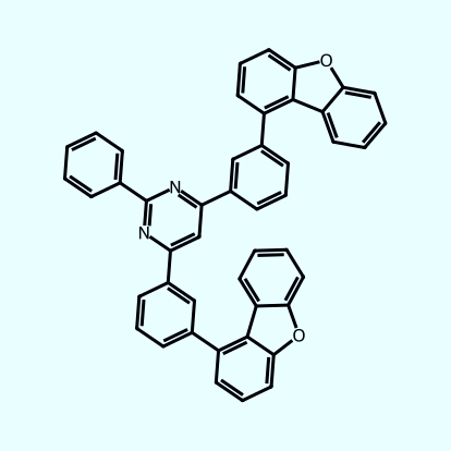 c1ccc(-c2nc(-c3cccc(-c4cccc5oc6ccccc6c45)c3)cc(-c3cccc(-c4cccc5oc6ccccc6c45)c3)n2)cc1